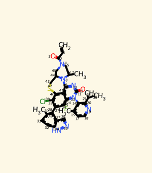 C=CC(=O)N1CC(C)N2c3nc(=O)n(-c4c(C)ccnc4C(C)C)c4c(F)c(-c5c(C)ccc6[nH]ncc56)c(Cl)c(c34)SCC2C1